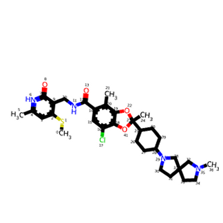 CSc1cc(C)[nH]c(=O)c1CNC(=O)c1cc(Cl)c2c(c1C)OC(C)(C1CCC(N3CCC4(CCN(C)C4)C3)CC1)O2